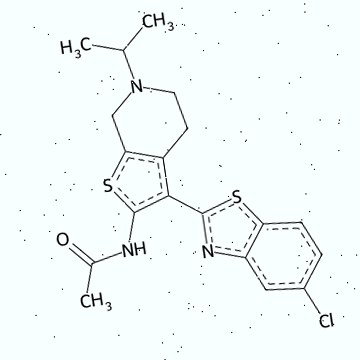 CC(=O)Nc1sc2c(c1-c1nc3cc(Cl)ccc3s1)CCN(C(C)C)C2